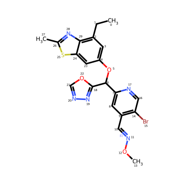 CCc1cc(OC(c2cc(/C=N/OC)c(Br)cn2)c2nnco2)cc2sc(C)nc12